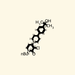 CCCCn1ccc(N2CCC(c3ccc(C(C)(C)O)cc3)CC2)c(Cl)c1=O